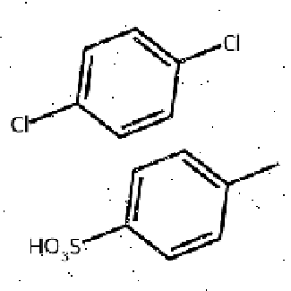 Cc1ccc(S(=O)(=O)O)cc1.Clc1ccc(Cl)cc1